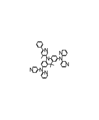 Cc1cc(-c2ccccc2)ncc1N1c2ccc(N(c3ccncc3)c3ccccn3)cc2C(C)(C)c2cc(N(c3cccnc3)c3ccccn3)ccc21